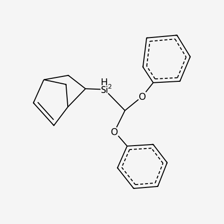 C1=CC2CC1CC2[SiH2]C(Oc1ccccc1)Oc1ccccc1